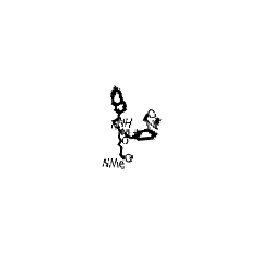 CNC(=O)CCCCC[C@H](NC(=O)c1cccc(N2CCOCC2)c1)c1ncc(-c2ccc3ccccc3c2)[nH]1